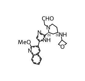 COc1nc2ccccc2cc1-c1cnc([C@@H]2C[C@@H](NC3COC3)CCN2CC=O)[nH]1